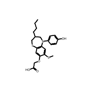 CCCCC1CSc2cc(OCC(=O)O)c(SC)cc2N(c2ccc(O)cc2)C1